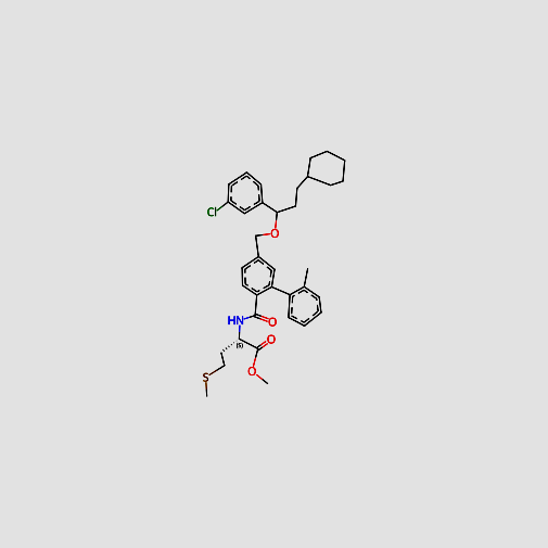 COC(=O)[C@H](CCSC)NC(=O)c1ccc(COC(CCC2CCCCC2)c2cccc(Cl)c2)cc1-c1ccccc1C